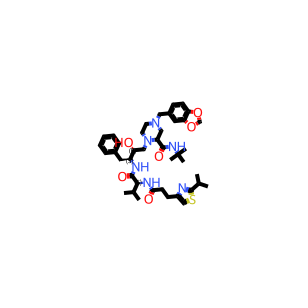 CC(C)c1nc(CCC(=O)N[C@H](C(=O)N[C@@H](Cc2ccccc2)[C@H](O)CN2CCN(Cc3ccc4c(c3)OCO4)CC2C(=O)NC(C)(C)C)C(C)C)cs1